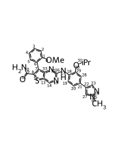 COc1ccccc1-c1c(C(N)=O)sc2cnc(Nc3ccc(-c4cnn(C)c4)cc3OC(C)C)nc12